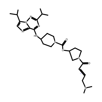 CC(C)c1nc(NC2CCN(C(=O)OC3CCN(C(=O)/C=C/CN(C)C)C3)CC2)c2ncc(C(C)C)n2n1